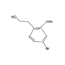 COc1cc(Br)ccc1CCO